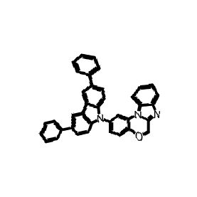 c1ccc(-c2ccc3c(c2)c2cc(-c4ccccc4)ccc2n3-c2ccc3c(c2)-n2c(nc4ccccc42)CO3)cc1